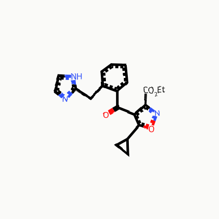 CCOC(=O)c1noc(C2CC2)c1C(=O)c1ccccc1Cc1ncc[nH]1